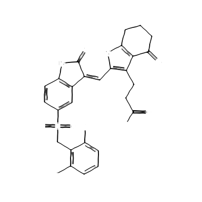 O=C(O)CCc1c(/C=C2\C(=O)Nc3ccc(S(=O)(=O)Cc4c(Cl)cccc4Cl)cc32)[nH]c2c1C(=O)CCC2